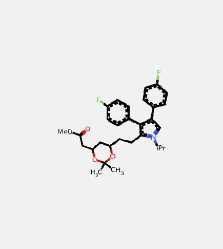 COC(=O)CC1CC(CCc2c(-c3ccc(F)cc3)c(-c3ccc(F)cc3)cn2C(C)C)OC(C)(C)O1